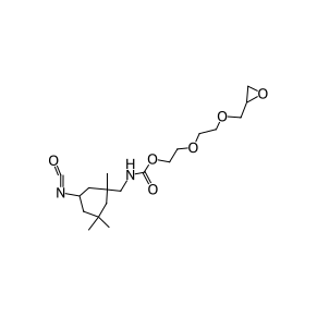 CC1(C)CC(N=C=O)CC(C)(CNC(=O)OCCOCCOCC2CO2)C1